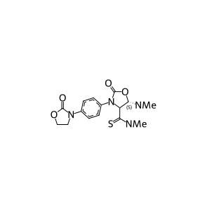 CNC(=S)C1[C@@H](NC)OC(=O)N1c1ccc(N2CCOC2=O)cc1